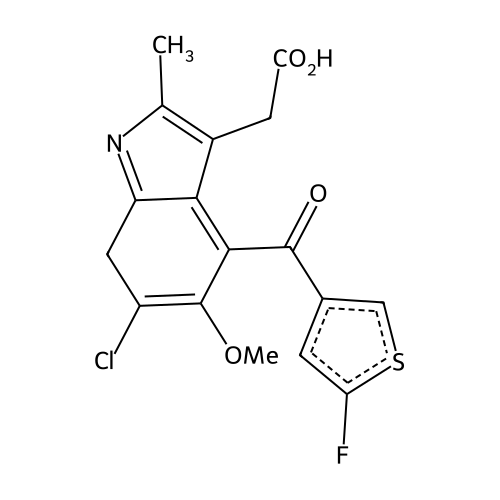 COC1=C(Cl)CC2=NC(C)=C(CC(=O)O)C2=C1C(=O)c1csc(F)c1